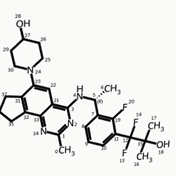 Cc1nc(N[C@H](C)c2cccc(C(F)(F)C(C)(C)O)c2F)c2cc(N3CCC(O)CC3)c3c(c2n1)CCC3